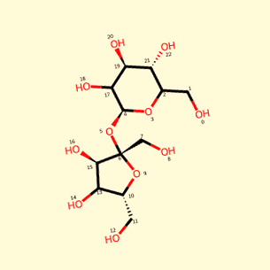 OCC1O[C@@H](O[C@]2(CO)O[C@H](CO)C(O)[C@H]2O)C(O)[C@@H](O)[C@@H]1O